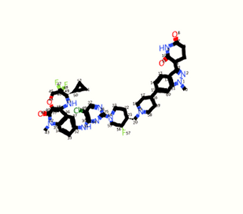 Cn1nc(C2CCC(=O)NC2=O)c2ccc(C3CCN(C[C@H]4CCN(c5ncc(Cl)c(Nc6ccc7c(c6)c6c(c(=O)n7C)OCC(F)(F)[C@H](C7CC7)N6)n5)C[C@H]4F)CC3)cc21